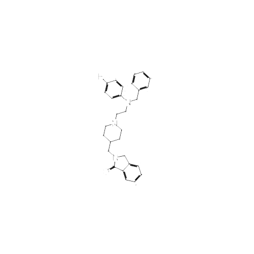 O=C1c2ccccc2CN1CC1CCN(CCN(Cc2ccccc2)c2ccc(F)cc2)CC1